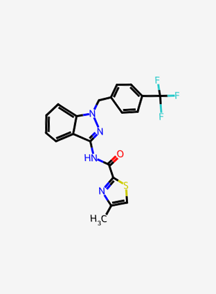 Cc1csc(C(=O)Nc2nn(Cc3ccc(C(F)(F)F)cc3)c3ccccc23)n1